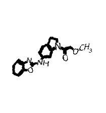 COCC(=O)N1CCc2ccc(Nc3nc4ccccc4o3)cc21